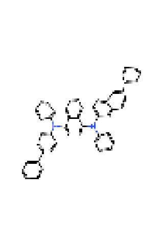 c1ccc(-c2ccc(N(c3ccccc3)c3ccc(N(c4ccccc4)c4ccc5cc(-c6ccccc6)ccc5c4)c4ccccc34)cc2)cc1